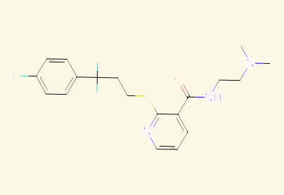 CN(C)CCNC(=O)c1cccnc1SCCC(F)(F)c1ccc(F)cc1